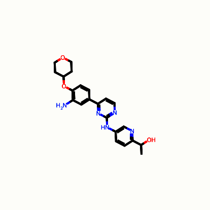 CC(O)c1ccc(Nc2nccc(-c3ccc(OC4CCOCC4)c(N)c3)n2)cn1